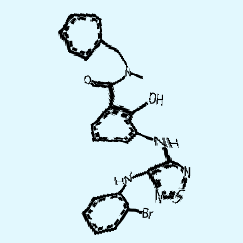 CN(Cc1ccccc1)C(=O)c1cccc(Nc2nsnc2Nc2ccccc2Br)c1O